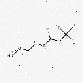 COCCOC(F)CC(F)(F)F